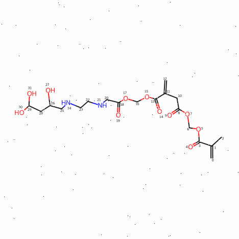 C=C(C)C(=O)OCOC(=O)CC(=C)C(=O)OCOC(=O)CNCCNCC(O)CC(O)O